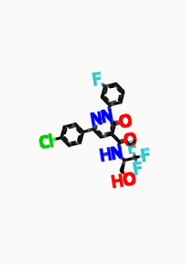 O=C(N[C@H](CO)C(F)(F)F)c1cc(-c2ccc(Cl)cc2)nn(-c2cccc(F)c2)c1=O